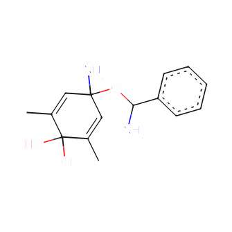 CC1=CC(N)(OC(N)c2ccccc2)C=C(C)C1(O)O